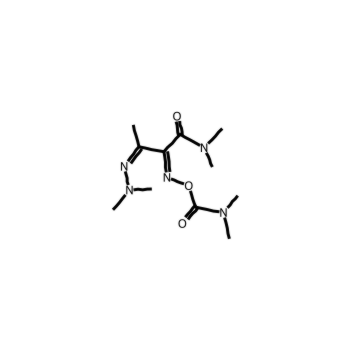 CC(=NN(C)C)C(=NOC(=O)N(C)C)C(=O)N(C)C